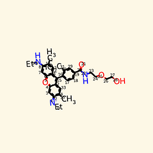 CC/N=c1/cc2oc3cc(NCC)c(C)cc3c(-c3ccc(C(=O)NCCOCCO)cc3C(=O)O)c-2cc1C